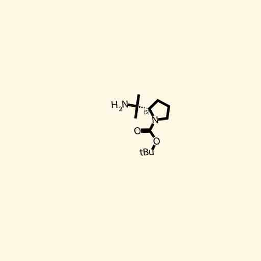 CC(C)(C)OC(=O)N1CCC[C@H]1C(C)(C)N